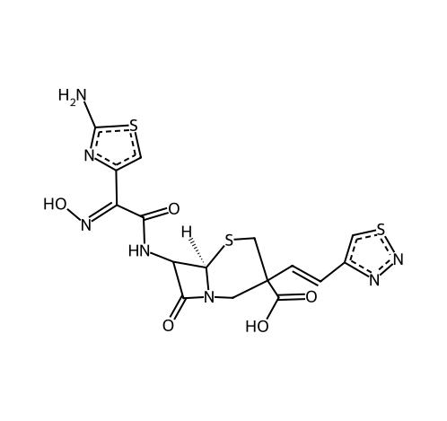 Nc1nc(C(=NO)C(=O)NC2C(=O)N3CC(C=Cc4csnn4)(C(=O)O)CS[C@H]23)cs1